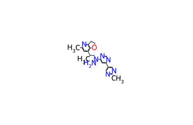 Cc1cc([C@H](C)CN(N)c2cc(-c3cnc(C)nc3)ncn2)c2c(n1)CCO2